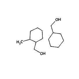 CC1CCCCC1CO.OCC1CCCCC1